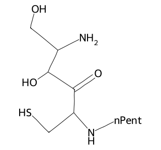 CCCCCNC(CS)C(=O)C(O)C(N)CO